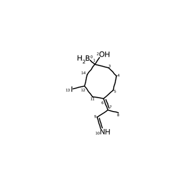 BC1(O)CCC/C(=C(\C)C=N)CC(I)C1